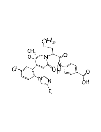 CCCC(C(=O)Nc1ccc(C(=O)O)cc1)n1cc(OC)c(-c2cc(Cl)ccc2-n2cnc(Cl)c2)cc1=O